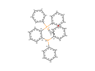 C=P(c1ccccc1)(c1ccccc1)c1ccccc1P(c1ccccc1)c1ccccc1